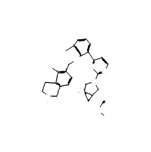 COC(=O)[C@]12C[C@H]1CN(c1nccc(-c3cccc(C)c3OCc3ccc4c(c3C)CCNC4)n1)C2